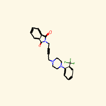 O=C1c2ccccc2C(=O)N1CC#CCN1CCN(c2ccccc2C(F)(F)F)CC1